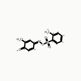 CC1=CC(=NOS(=O)(=O)c2ccccc2C)C=CC1=O